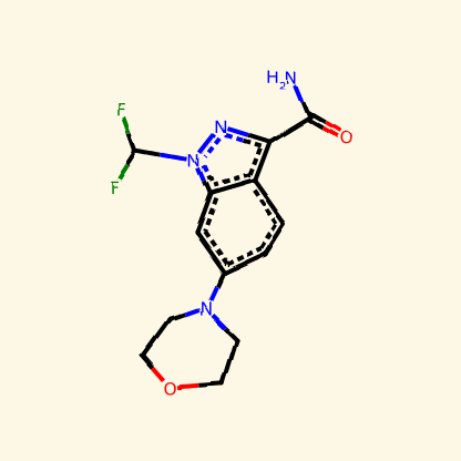 NC(=O)c1nn(C(F)F)c2cc(N3CCOCC3)ccc12